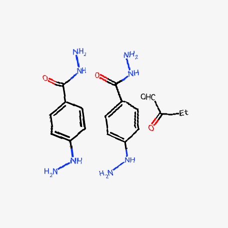 CCC(=O)C=O.NNC(=O)c1ccc(NN)cc1.NNC(=O)c1ccc(NN)cc1